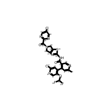 Cc1cc(-c2cc(Cl)ncc2OC(F)F)c(C(=O)Nc2nc3c(s2)CN(C(=O)c2ncc(Cl)cn2)C3)cn1